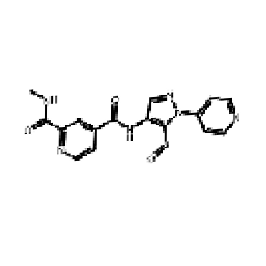 CNC(=O)c1cc(C(=O)Nc2cnn(-c3ccncc3)c2C=O)ccn1